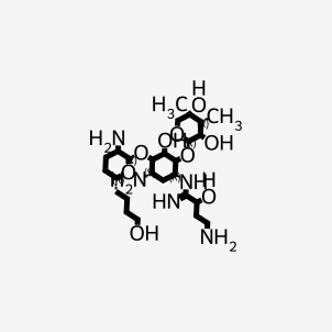 C[C@@H]1C(O)[C@@H](OC2C(O)C(O[C@H]3O[C@H](CCCCO)CCC3N)[C@@H](N)C[C@H]2NC(=N)C(O)CCN)OCC1(C)O